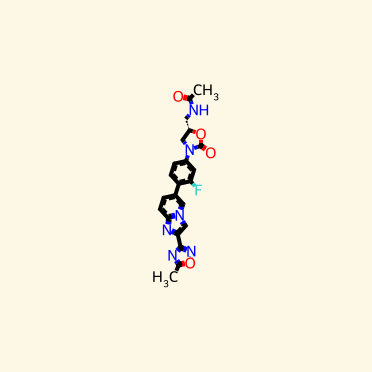 CC(=O)NC[C@H]1CN(c2ccc(-c3ccc4nc(-c5noc(C)n5)cn4c3)c(F)c2)C(=O)O1